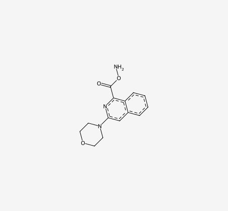 NOC(=O)c1nc(N2CCOCC2)cc2ccccc12